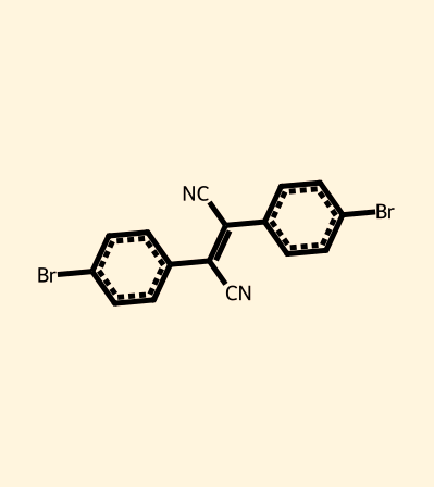 N#C/C(=C(/C#N)c1ccc(Br)cc1)c1ccc(Br)cc1